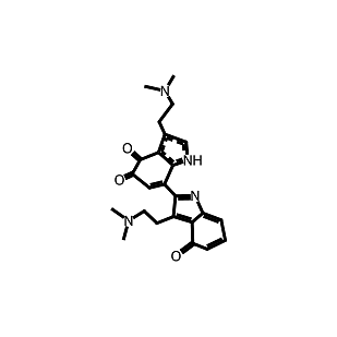 CN(C)CCC1=C2C(=O)C=CC=C2N=C1C1=CC(=O)C(=O)c2c(CCN(C)C)c[nH]c21